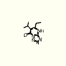 CCc1[nH]c2nnnn2c(=O)c1C(C)C